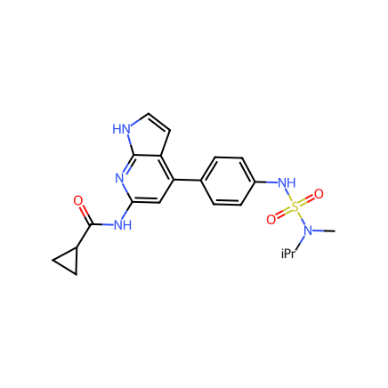 CC(C)N(C)S(=O)(=O)Nc1ccc(-c2cc(NC(=O)C3CC3)nc3[nH]ccc23)cc1